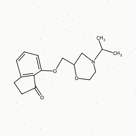 CC(C)N1CCOC(COc2cccc3c2C(=O)CC3)C1